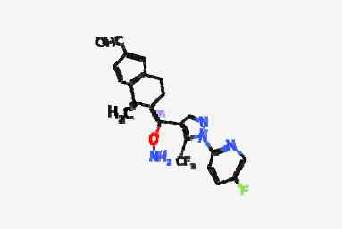 C=C1/C(=C(\ON)c2cnn(-c3ccc(F)cn3)c2C(F)(F)F)CCc2cc(C=O)ccc21